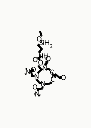 CCO[SiH2]CCCNC(=O)OCC1CN(CC(=O)N(C)C)CCN(CC(=O)N(C)C)CCCN(CC=O)CCN1CC=O